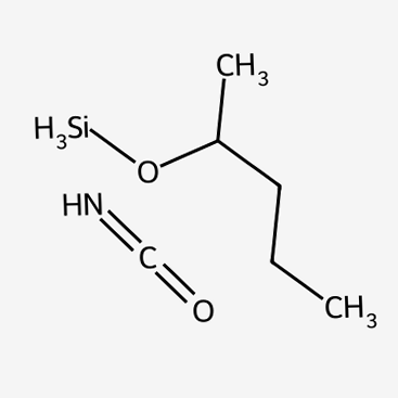 CCCC(C)O[SiH3].N=C=O